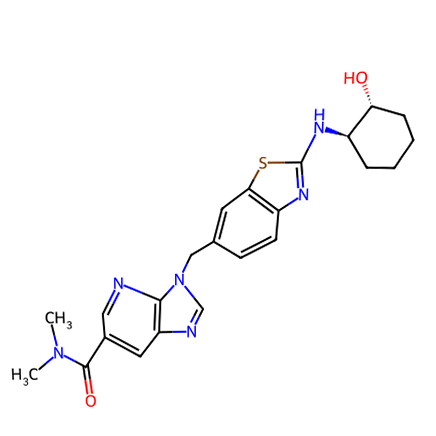 CN(C)C(=O)c1cnc2c(c1)ncn2Cc1ccc2nc(N[C@@H]3CCCC[C@H]3O)sc2c1